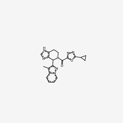 Cc1c(C2c3nc[nH]c3CCN2C(=O)c2nnc(C3CC3)o2)nn2ccccc12